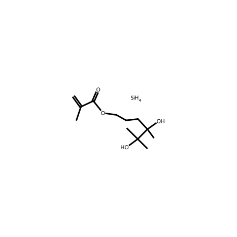 C=C(C)C(=O)OCCCC(C)(O)C(C)(C)O.[SiH4]